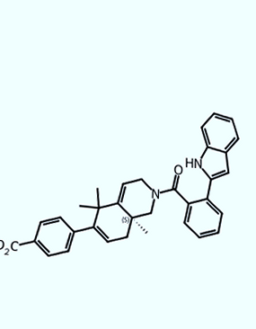 CC1(C)C(c2ccc(C(=O)O)cc2)=CC[C@]2(C)CN(C(=O)c3ccccc3-c3cc4ccccc4[nH]3)CC=C12